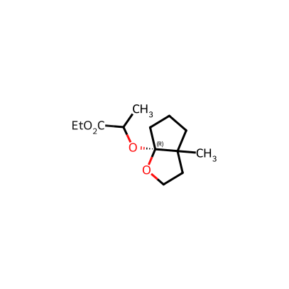 CCOC(=O)C(C)O[C@]12CCCC1(C)CCO2